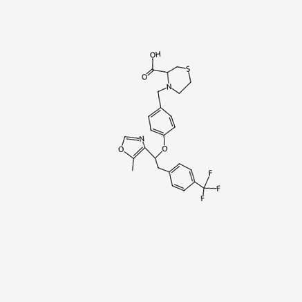 Cc1ocnc1C(Cc1ccc(C(F)(F)F)cc1)Oc1ccc(CN2CCSCC2C(=O)O)cc1